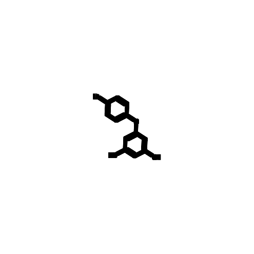 CCc1ccc(Oc2cc(O)cc(O)c2)cc1